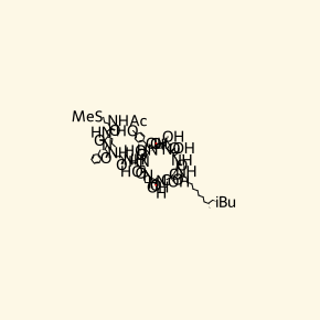 CC[C@H](C)C[C@H](C)CCCCCCCCC(=O)N[C@H]1C[C@@H](O)CNC(=O)[C@@H]2[C@@H](O)CCN2C(=O)[C@H]([C@H](O)CCNC(=O)CCNC(=O)[C@H](Cc2ccccc2)N2C(=O)[C@@H](NC(=O)[C@H](CCSC)NC(C)=O)CC2C)NC(=O)[C@H]([C@H](O)[C@@H](O)c2ccc(O)cc2)NC(=O)[C@@H]2C[C@@H](O)CN2C(=O)[C@H]([C@@H](C)O)NC1=O